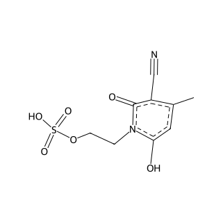 Cc1cc(O)n(CCOS(=O)(=O)O)c(=O)c1C#N